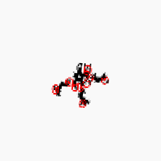 CC1CC(C(=O)OCCC2CO2)C(C(=O)OCCC2CO2)C1C(=O)OCCC1CO1